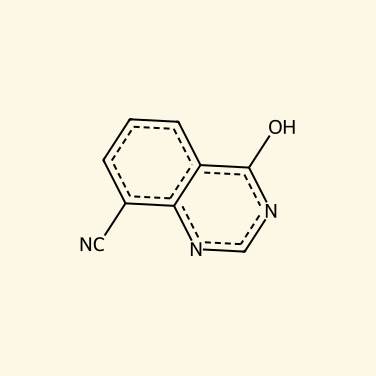 N#Cc1cccc2c(O)ncnc12